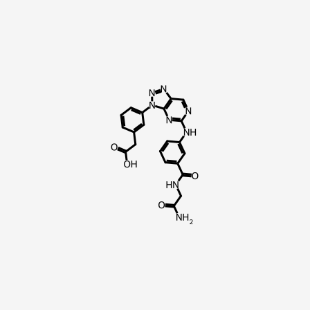 NC(=O)CNC(=O)c1cccc(Nc2ncc3nnn(-c4cccc(CC(=O)O)c4)c3n2)c1